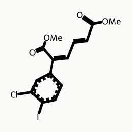 COC(=O)C=CC=C(C(=O)OC)c1ccc(I)c(Cl)c1